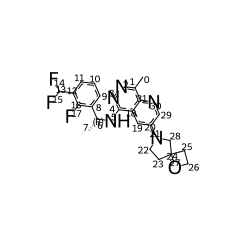 Cc1nnc(N[C@H](C)c2cccc(C(F)F)c2F)c2cc(N3CCC4(CCO4)C3)cnc12